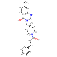 CCC1(Cn2cnc3cc(C)ccc3c2=O)CCN(C(=O)CCc2ccccc2)CC1